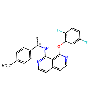 C[C@H](Nc1nccc2ccnc(Oc3cc(F)ccc3F)c12)c1ccc(C(=O)O)cc1